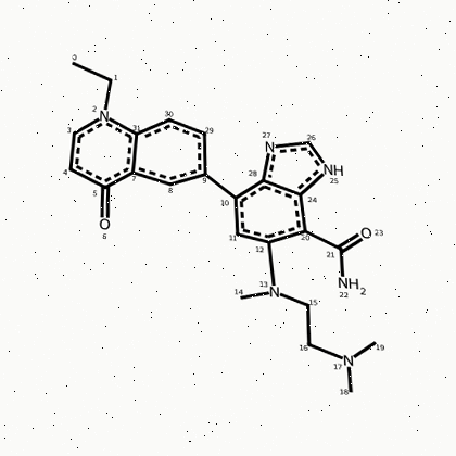 CCn1ccc(=O)c2cc(-c3cc(N(C)CCN(C)C)c(C(N)=O)c4[nH]cnc34)ccc21